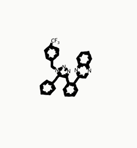 FC(F)(F)c1ccc(Cn2nnc(-c3ccccc3-c3cnc4ccccc4n3)c2-c2ccccc2)cc1